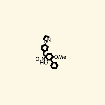 COC1=C(c2ccccc2)C(O)C(Cc2ccc(-n3cccn3)cc2)([N+](=O)[O-])C=C1